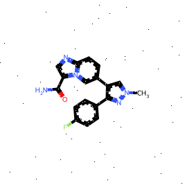 Cn1cc(-c2ccc3ncc(C(N)=O)n3c2)c(-c2ccc(F)cc2)n1